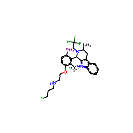 Cc1c(OCCNCCCF)ccc(P)c1C1c2[nH]c3ccccc3c2CC(C)N1CC(F)(F)F